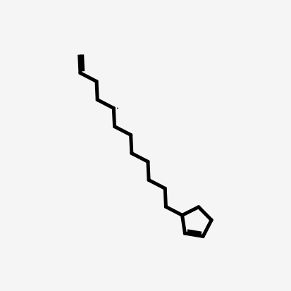 C=CCC[CH]CCCCCCCC1C=CCC1